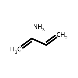 C=CC=C.N